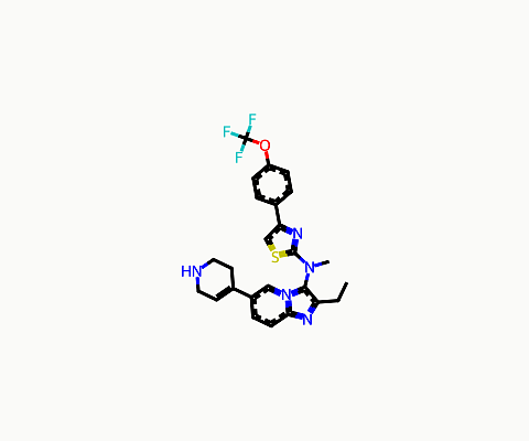 CCc1nc2ccc(C3=CCNCC3)cn2c1N(C)c1nc(-c2ccc(OC(F)(F)F)cc2)cs1